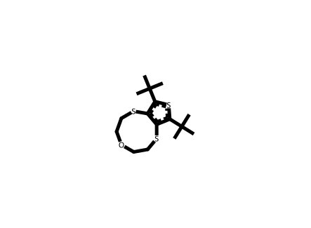 CC(C)(C)c1sc(C(C)(C)C)c2c1SCCOCCS2